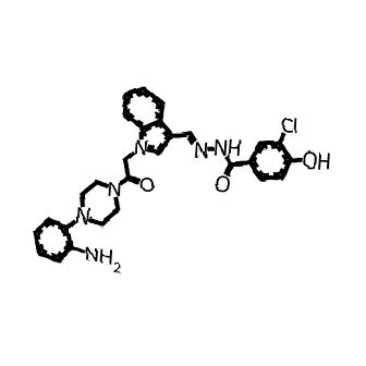 Nc1ccccc1N1CCN(C(=O)Cn2cc(/C=N/NC(=O)c3ccc(O)c(Cl)c3)c3ccccc32)CC1